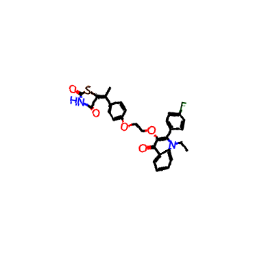 CCn1c(-c2ccc(F)cc2)c(OCCOc2ccc(/C(C)=C3/SC(=O)NC3=O)cc2)c(=O)c2ccccc21